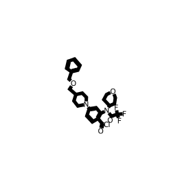 O=C(Cl)c1ccc(N2CCC(COCc3ccccc3)CC2)cc1N(C(=O)C(F)(F)F)C1CCOCC1